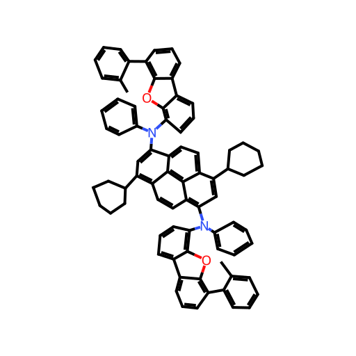 Cc1ccccc1-c1cccc2c1oc1c(N(c3ccccc3)c3cc(C4CCCCC4)c4ccc5c(N(c6ccccc6)c6cccc7c6oc6c(-c8ccccc8C)cccc67)cc(C6CCCCC6)c6ccc3c4c65)cccc12